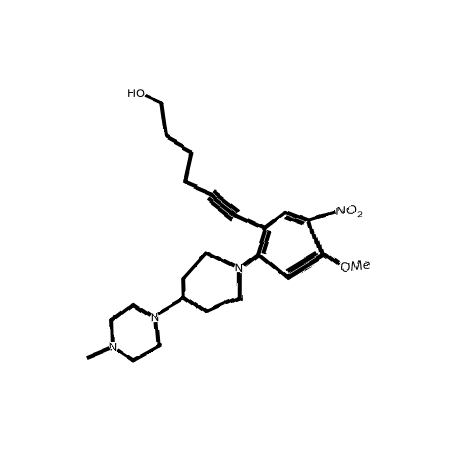 COc1cc(N2CCC(N3CCN(C)CC3)CC2)c(C#CCCCCO)cc1[N+](=O)[O-]